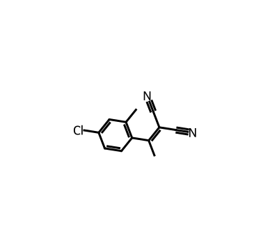 CC(=C(C#N)C#N)c1ccc(Cl)cc1C